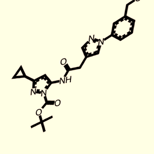 COCc1cccc(-n2cc(CC(=O)Nc3cc(C4CC4)nn3C(=O)OC(C)(C)C)cn2)c1